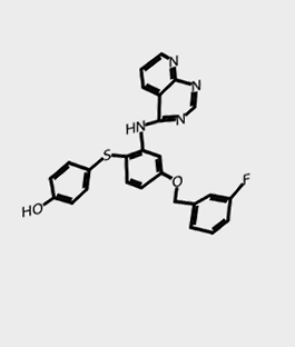 Oc1ccc(Sc2ccc(OCc3cccc(F)c3)cc2Nc2ncnc3ncccc23)cc1